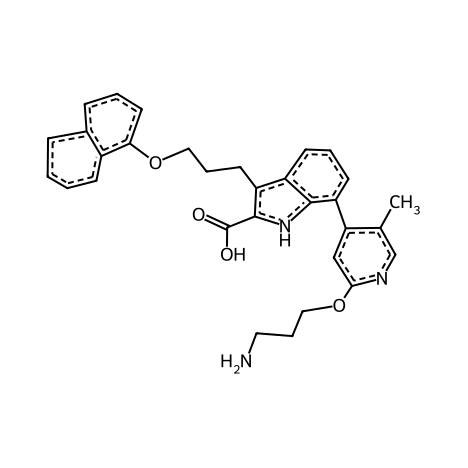 Cc1cnc(OCCCN)cc1-c1cccc2c(CCCOc3cccc4ccccc34)c(C(=O)O)[nH]c12